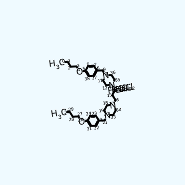 CCCCOc1ccc(CN2CCN(CCCN3CCN(Cc4ccc(OCCCC)cc4)CC3)CC2)cc1.Cl.Cl.Cl.Cl